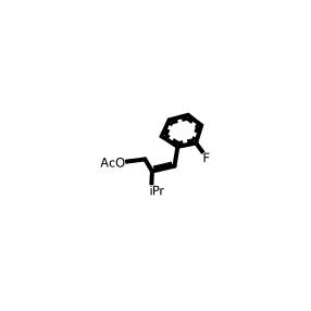 CC(=O)OCC(=Cc1ccccc1F)C(C)C